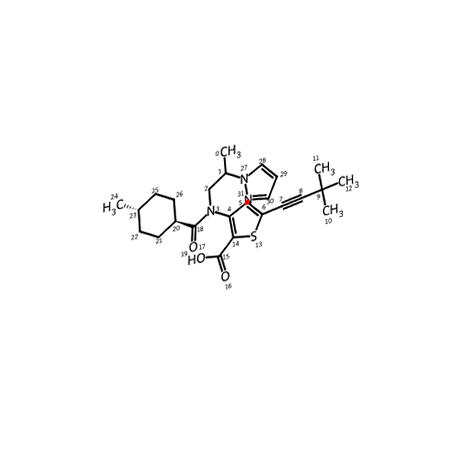 CC(CN(c1cc(C#CC(C)(C)C)sc1C(=O)O)C(=O)[C@H]1CC[C@H](C)CC1)n1cccn1